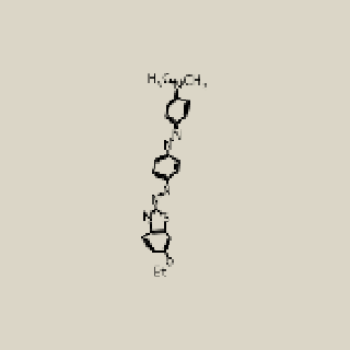 CCOc1ccc2nc(N=Nc3ccc(N=Nc4ccc(N(C)C)cc4)cc3)sc2c1